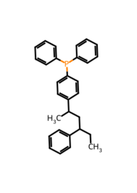 CCC(CC(C)c1ccc(P(c2ccccc2)c2ccccc2)cc1)c1ccccc1